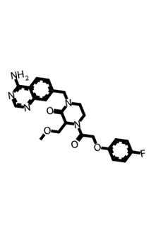 COCC1C(=O)N(Cc2ccc3c(N)ncnc3c2)CCN1C(=O)COc1ccc(F)cc1